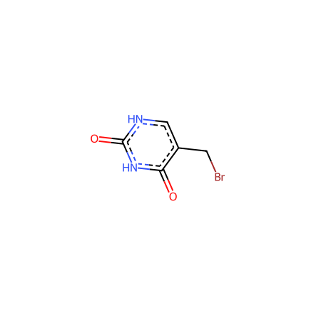 O=c1[nH]cc(CBr)c(=O)[nH]1